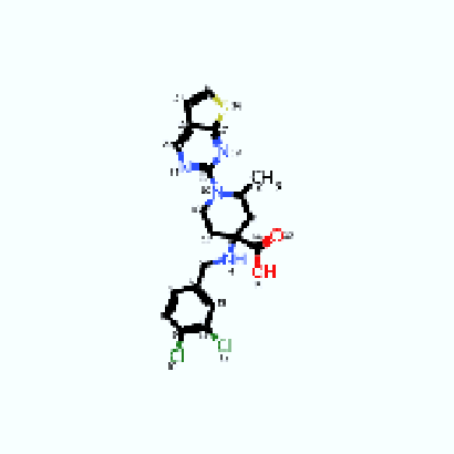 CC1CC(NCc2ccc(Cl)c(Cl)c2)(C(=O)O)CCN1c1ncc2ccsc2n1